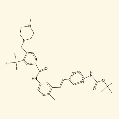 Cc1ccc(NC(=O)c2ccc(CN3CCN(C)CC3)c(C(F)(F)F)c2)cc1C=Cc1cnc(NC(=O)OC(C)(C)C)cn1